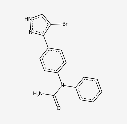 NC(=O)N(c1ccccc1)c1ccc(-c2n[nH]cc2Br)cc1